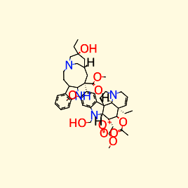 CC[C@]1(O)C[C@H]2CN(CCC3c4ccccc4NC3[C@@](C(=O)OC)(c3cc4c(cc3OC)N(CO)[C@H]3[C@](CCOC)([O+]=O)[C@H](OC(C)=O)[C@]5(CC)C=CCN6CC[C@]43[C@@H]65)C2)C1